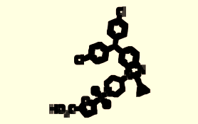 O=C(O)c1ccc(S(=O)(=O)N2CCC(n3c(C4CC4)nc4ccc(C(c5ccc(Cl)cc5)c5ccc(Cl)cc5)cc43)CC2)o1